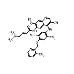 CCOc1cc2ncc(C#N)c(Nc3cc(C)c(OCc4ncccc4C)cc3C)c2cc1NC(=O)/C=C/CN(C)C